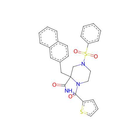 NC(=O)C1(Cc2ccc3ccccc3c2)CN(S(=O)(=O)c2ccccc2)CCN1C(=O)c1cccs1